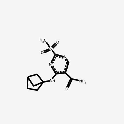 CS(=O)(=O)c1ncc(C(N)=O)c(NC23CCC(C2)C3)n1